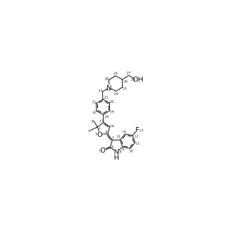 CC1(C)OC(=C2C(=O)Nc3ccc(F)cc32)C=C1c1ccc(CN2CCC(CO)CC2)cc1